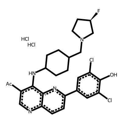 CC(=O)c1cnc2ccc(-c3cc(Cl)c(O)c(Cl)c3)nc2c1NC1CCC(CN2CC[C@@H](F)C2)CC1.Cl.Cl